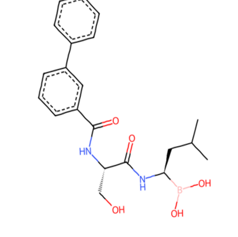 CC(C)C[C@H](NC(=O)[C@H](CO)NC(=O)c1cccc(-c2ccccc2)c1)B(O)O